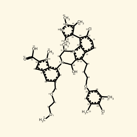 COCCOCc1cc(N2C[C@@H](C)n3c(c(CCCOc4cc(C)c(Cl)c(C)c4)c4ccc(Cl)c(-c5c(C)nn(C)c5C)c43)C2O)c2c(c1)cc(C(=O)O)n2C